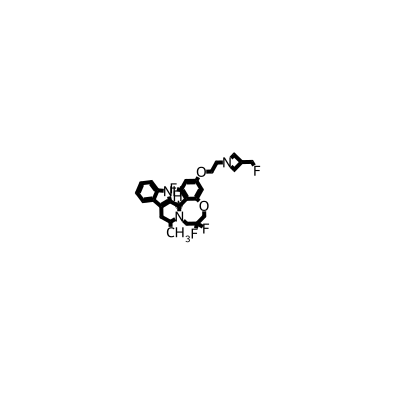 CC1Cc2c([nH]c3ccccc23)[C@H]2c3c(F)cc(OCCN4CC(CF)C4)cc3OCC(F)(F)CN12